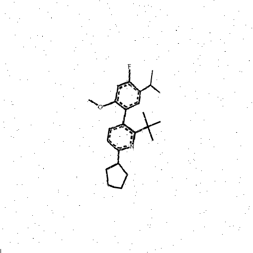 COc1cc(F)c(C(C)C)cc1-c1ccc(C2CCCC2)nc1C(C)(C)C